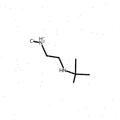 [CH2-][NH2+]CCNC(C)(C)C